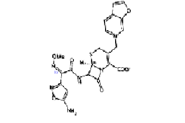 CO/N=C(\C(=O)NC1C(=O)N2C(C(=O)[O-])=C(C[n+]3ccc4ccoc4c3)CS[C@H]12)c1cc(N)on1